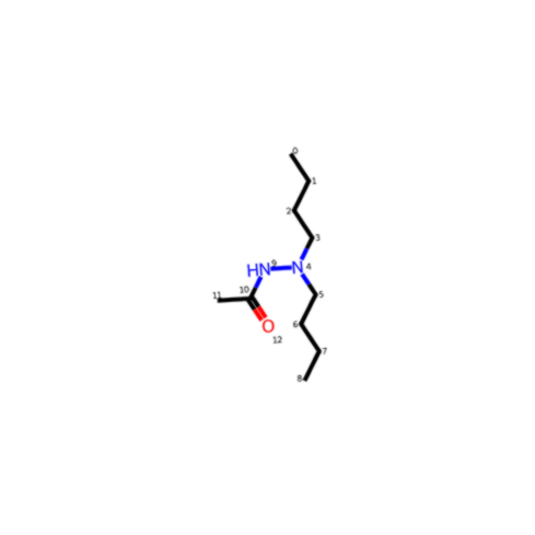 CCCCN(CCCC)NC(C)=O